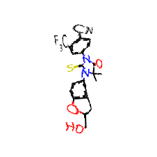 CC1(C)C(=O)N(c2ccc(C#N)c(C(F)(F)F)c2)C(=S)N1c1ccc2c(c1)CC(CO)O2